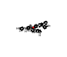 CC(C)c1ccccc1[C@H]1COCCN1[C@@H]1CC2(CCN(c3ccc(C(=O)NS(=O)(=O)c4ccc(NC[C@H]5CC[C@](C)(O)CC5)c([N+](=O)[O-])c4)c(N4c5cc6cc[nH]c6nc5O[C@@H]5CCOC[C@H]54)c3)CC2)[C@@H]1C